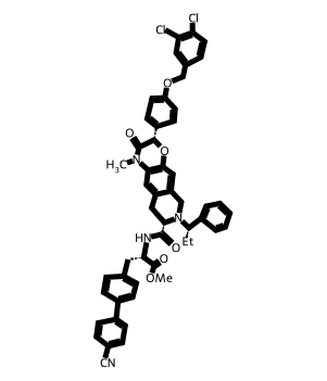 CC[C@@H](c1ccccc1)N1Cc2cc3c(cc2C[C@H]1C(=O)N[C@@H](Cc1ccc(-c2ccc(C#N)cc2)cc1)C(=O)OC)N(C)C(=O)[C@H](c1ccc(OCc2ccc(Cl)c(Cl)c2)cc1)O3